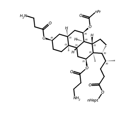 CCCCCCCOC(=O)CC[C@@H](C)[C@H]1CC[C@H]2[C@@H]3[C@H](OC(=O)CCC)C[C@@H]4C[C@H](OC(=O)CCN)CC[C@]4(C)[C@H]3C[C@H](OC(=O)CCN)[C@]12C